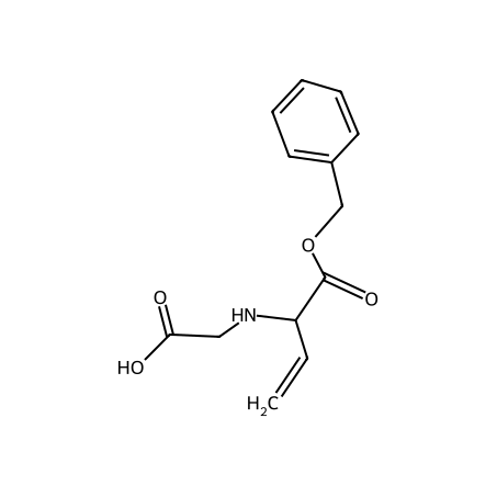 C=CC(NCC(=O)O)C(=O)OCc1ccccc1